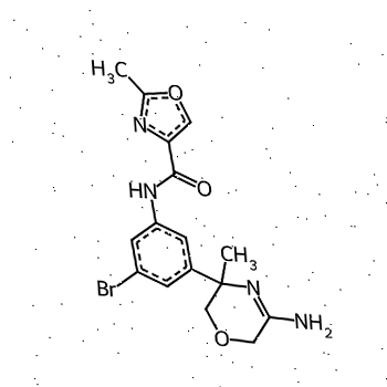 Cc1nc(C(=O)Nc2cc(Br)cc(C3(C)COCC(N)=N3)c2)co1